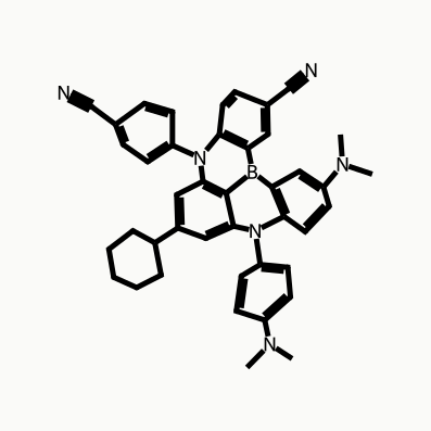 CN(C)c1ccc(N2c3ccc(N(C)C)cc3B3c4cc(C#N)ccc4N(c4ccc(C#N)cc4)c4cc(C5CCCCC5)cc2c43)cc1